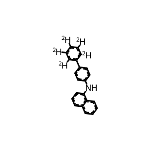 [2H]c1c([2H])c([2H])c(-c2ccc(Nc3cccc4ccccc34)cc2)c([2H])c1[2H]